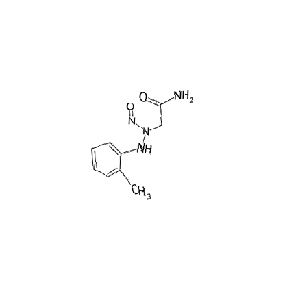 Cc1ccccc1NN(CC(N)=O)N=O